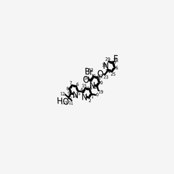 Cc1cnc(-c2cccc(C(C)(C)O)n2)cc1-n1c(C)cc(OCc2ccc(F)cn2)c(Br)c1=O